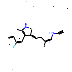 C#CN/C=C(/C)C/C=C1\CNC(C)=C1/C=C(/F)C=C